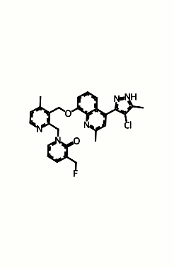 Cc1cc(-c2n[nH]c(C)c2Cl)c2cccc(OCc3c(C)ccnc3Cn3cccc(CF)c3=O)c2n1